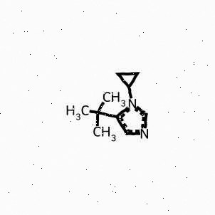 CC(C)(C)c1cncn1C1CC1